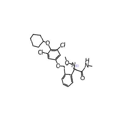 CNC(=O)/C(=N/OC)c1ccccc1COc1cc(Cl)c(OC2CCCCC2)c(Cl)c1